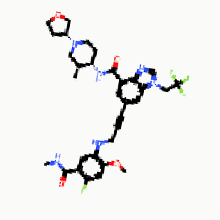 CNC(=O)c1cc(NCC#Cc2cc(C(=O)N[C@H]3CCN([C@@H]4CCOC4)C[C@@H]3C)c3ncn(CC(F)(F)F)c3c2)c(OC)cc1F